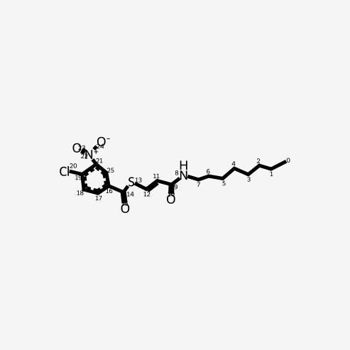 CCCCCCCCNC(=O)C=CSC(=O)c1ccc(Cl)c([N+](=O)[O-])c1